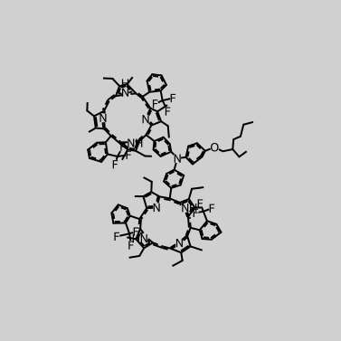 CCCCC(CC)COc1ccc(N(c2ccc(-c3c4nc(c(-c5ccccc5C(F)(F)F)c5[nH]c(cc6nc(c(-c7ccccc7C(F)(F)F)c7[nH]c3c(CC)c7C)C(C)=C6CC)c(CC)c5C)C(C)=C4CC)cc2)c2ccc(-c3c4nc(c(-c5ccccc5C(F)(F)F)c5[nH]c(cc6nc(c(-c7ccccc7C(F)(F)F)c7[nH]c3c(CC)c7C)C(C)=C6CC)c(CC)c5C)C(C)=C4CC)cc2)cc1